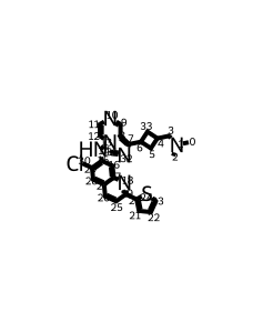 CN(C)CC1CC(C2=C3C=NC=C[N+]3(Nc3cc4nc(-c5cccs5)ccc4cc3Cl)C=N2)C1